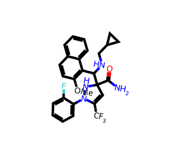 COc1ccc2ccccc2c1C(NCC1CC1)C1(C(N)=O)C=C(C(F)(F)F)N(c2ccccc2F)N1